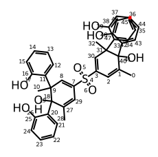 CC1=CC(S(=O)(=O)C2=CC(C)(c3ccccc3O)C(O)(c3ccccc3O)C(C)=C2)=CC(C)(c2ccccc2O)C1(O)c1ccccc1O